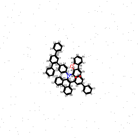 c1ccc(-c2cccc(-c3c(N(c4ccc(-c5cc(-c6ccccc6)ccc5-c5ccccc5)cc4)c4cccc5c4oc4ccccc45)c4ccccc4c4ccccc34)c2)cc1